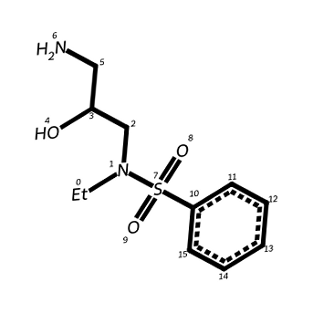 CCN(CC(O)CN)S(=O)(=O)c1ccccc1